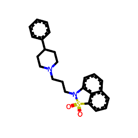 O=S1(=O)c2cccc3cccc(c23)N1CCCN1CCC(c2ccccc2)CC1